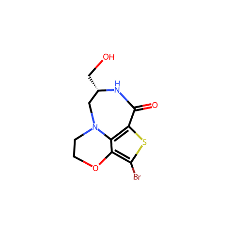 O=C1N[C@@H](CO)CN2CCOc3c(Br)sc1c32